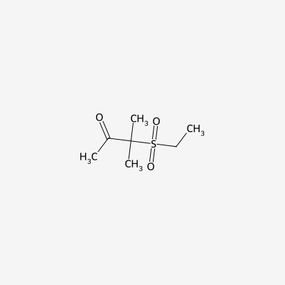 CCS(=O)(=O)C(C)(C)C(C)=O